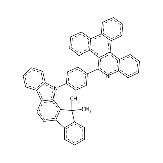 CC1(C)c2ccccc2-c2ccc3c4ccccc4n(-c4ccc(-c5nc6ccccc6c6c7ccccc7c7ccccc7c56)cc4)c3c21